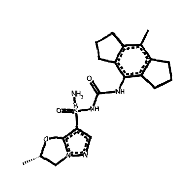 Cc1c2c(c(NC(=O)N[SH](N)(=O)c3cnn4c3O[C@@H](C)C4)c3c1CCC3)CCC2